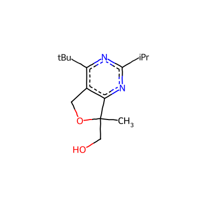 CC(C)c1nc(C(C)(C)C)c2c(n1)C(C)(CO)OC2